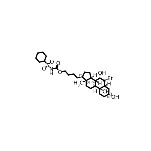 CC[C@H]1[C@@H](O)[C@@H]2[C@H](CC[C@]3(C)[C@@H](CCCCOC(=O)NS(=O)(=O)C4CCCCC4)CC[C@@H]23)[C@@]2(C)CC[C@@H](O)C[C@@H]12